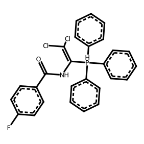 O=C(NC(=C(Cl)Cl)[PH](c1ccccc1)(c1ccccc1)c1ccccc1)c1ccc(F)cc1